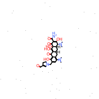 CN(C)c1cc(CN2C=C(C=O)CC2)c(O)c2c1C[C@H]1C[C@H]3[C@H](N(C)C)C(O)=C(C(N)=O)C(=O)[C@@]3(O)C(O)=C1C2=O